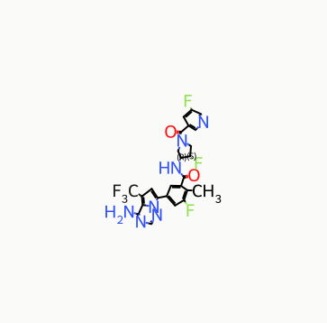 Cc1c(F)cc(-c2cc(C(F)(F)F)c3c(N)ncnn23)cc1C(=O)N[C@@H]1CN(C(=O)c2cncc(F)c2)C[C@@H]1F